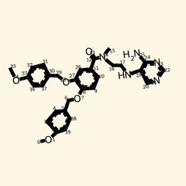 COc1ccc(COc2ccc(C(=O)N(C)CCNc3cncnc3N)cc2OCc2ccc(OC)cc2)cc1